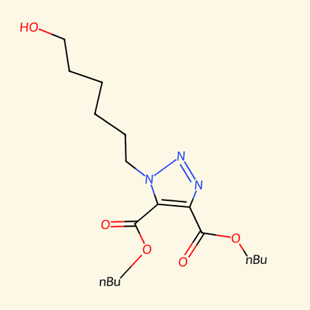 CCCCOC(=O)c1nnn(CCCCCCO)c1C(=O)OCCCC